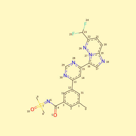 Cc1cc(C(=O)N=S(C)(C)=O)cc(-c2cc(-c3cnc4ccc(C(F)F)nn34)ncn2)c1